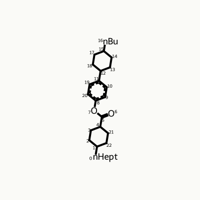 CCCCCCCC1CCC(C(=O)Oc2ccc(C3CCC(CCCC)CC3)cc2)CC1